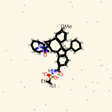 CCC(CC)S(=O)(=O)NC(=O)c1ccc2c(c1)C1CC3(C(=O)N4C5CCC4CN(C)C5)CC3c3cc(OC)ccc3C1=C2C1CCCCC1